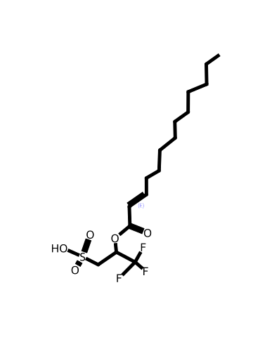 CCCCCCCCCC/C=C/C(=O)OC(CS(=O)(=O)O)C(F)(F)F